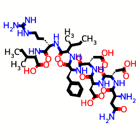 CC[C@H](C)[C@H](NC(=O)[C@H](CCCNC(=N)N)NC(=O)[C@@H](NC(=O)[C@H](Cc1ccccc1)NC(=O)[C@H](CC(=O)O)NC(=O)[C@H](CC(=O)O)NC(=O)[C@H](CC(=O)O)NC(=O)[C@@H](N)CC(N)=O)[C@@H](C)CC)C(=O)O